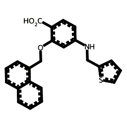 O=C(O)c1ccc(NCc2cccs2)cc1OCc1cccc2ccccc12